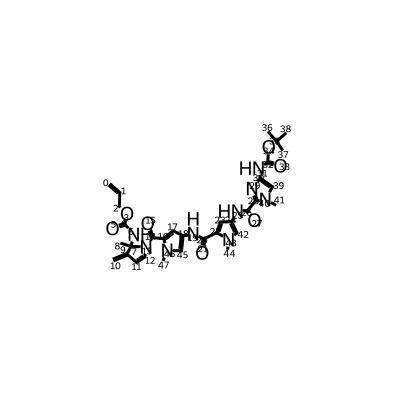 C=CCOC(=O)NC1(C)C(=C)C=CN1C(=O)c1cc(NC(=O)c2cc(NC(=O)c3nc(NC(=O)OC(C)(C)C)cn3C)cn2C)cn1C